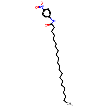 CCCCCCCCCCCCCCCCCCCCCC(=O)Nc1ccc([N+](=O)[O-])cc1